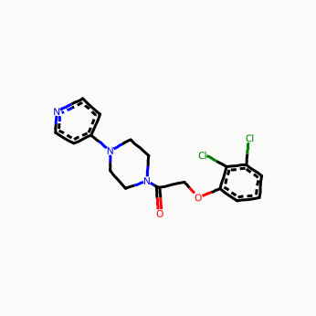 O=C(COc1cccc(Cl)c1Cl)N1CCN(c2ccncc2)CC1